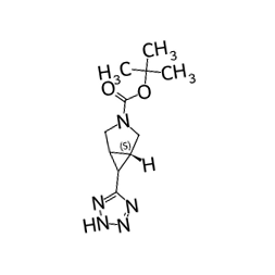 CC(C)(C)OC(=O)N1CC2C(c3nn[nH]n3)[C@H]2C1